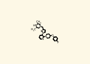 C[C@@H]1CN(Cc2ccn(-c3cccnc3N3CCC(Oc4ccc(F)cc4)CC3)n2)C[C@H](C)N1